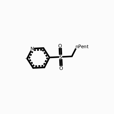 CCCCCCS(=O)(=O)c1cc[c]nc1